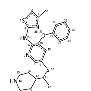 Cc1csc(Nc2ncc(SC(C)C3CCNCC3)cc2Oc2ccccc2)n1